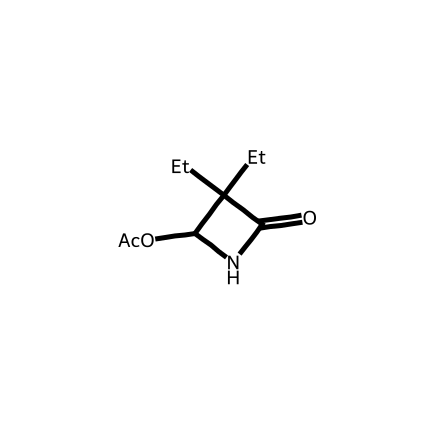 CCC1(CC)C(=O)NC1OC(C)=O